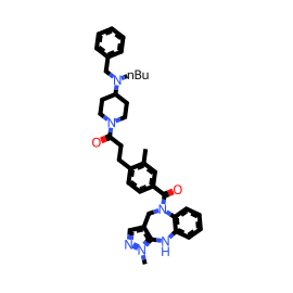 CCCCN(Cc1ccccc1)C1CCN(C(=O)CCc2ccc(C(=O)N3Cc4cnn(C)c4Nc4ccccc43)cc2C)CC1